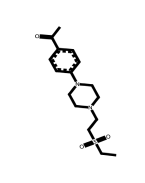 CCS(=O)(=O)CCN1CCN(c2ccc(C(C)=O)cc2)CC1